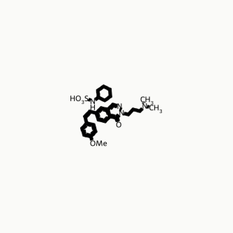 COc1ccc(/C=C\c2ccc3c(=O)n(CCCN(C)C)ncc3c2)cc1.O=S(=O)(O)NC1CCCCC1